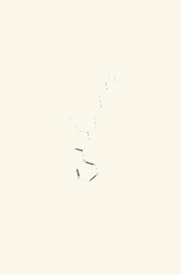 CCCCCCC(COC)OC(=O)c1cccc(C)c1